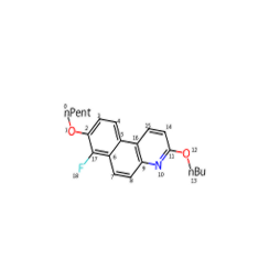 CCCCCOc1ccc2c(ccc3nc(OCCCC)ccc32)c1F